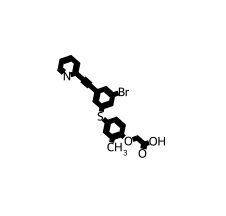 Cc1cc(Sc2cc(Br)cc(C#Cc3ccccn3)c2)ccc1OCC(=O)O